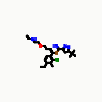 C=CNCCOCC/C=C(/SC(=N)C1=NN=C(C(C)(C)C)C1)c1ccc(CC)c(C)c1Cl